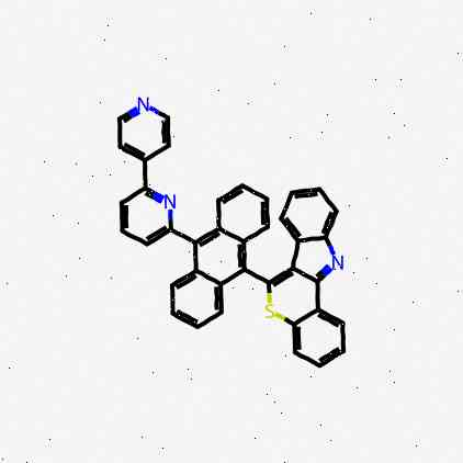 c1cc(-c2ccncc2)nc(-c2c3ccccc3c(-c3sc4ccccc4c4nc5ccccc5c3-4)c3ccccc23)c1